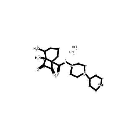 CC1CCCC2(C(=O)ON3CCN(C4CCNCC4)CC3)C(=O)C(=O)C12N.Cl.Cl